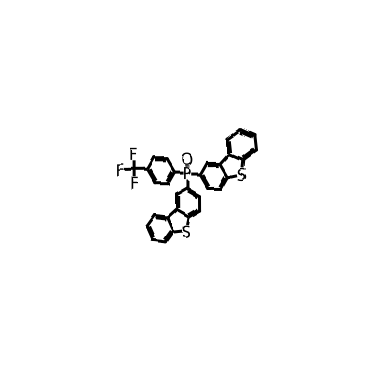 O=P(c1ccc(C(F)(F)F)cc1)(c1ccc2sc3ccccc3c2c1)c1ccc2sc3ccccc3c2c1